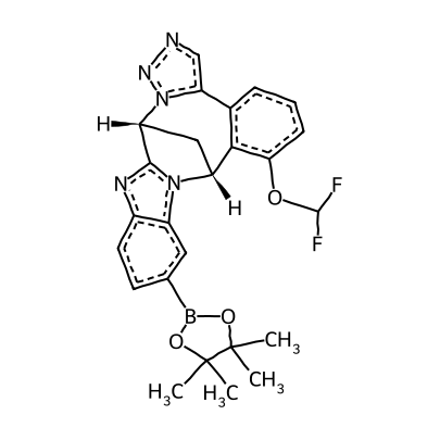 CC1(C)OB(c2ccc3nc4n(c3c2)[C@@H]2C[C@H]4n3nncc3-c3cccc(OC(F)F)c32)OC1(C)C